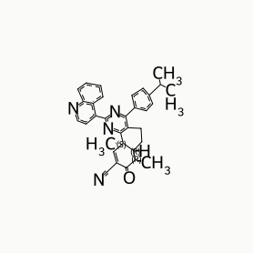 CC(C)c1ccc(-c2nc(-c3ccnc4ccccc34)nc3c2CC[C@@H]2[C@@H](C)C(=O)C(C#N)=C[C@@]32C)cc1